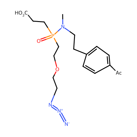 CC(=O)c1ccc(CCN(C)P(=O)(CCOCCN=[N+]=[N-])CCC(=O)O)cc1